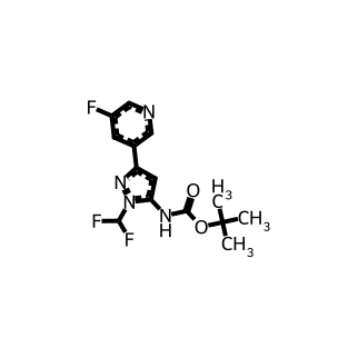 CC(C)(C)OC(=O)Nc1cc(-c2cncc(F)c2)nn1C(F)F